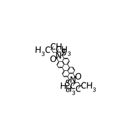 CC(C)CC(C)N1C(=O)c2ccc3c4ccc5c6c(ccc(c7ccc(c2c37)C1=S)c64)C(=O)N(C(C)CC(C)C)C5=S